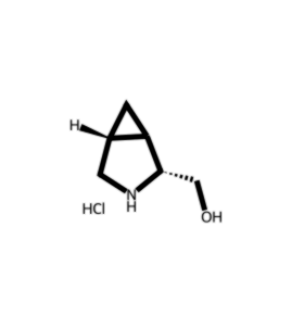 Cl.OC[C@@H]1NC[C@@H]2CC21